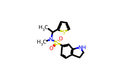 CC(c1cccs1)N(C)S(=O)(=O)c1ccc2c(c1)NCC2